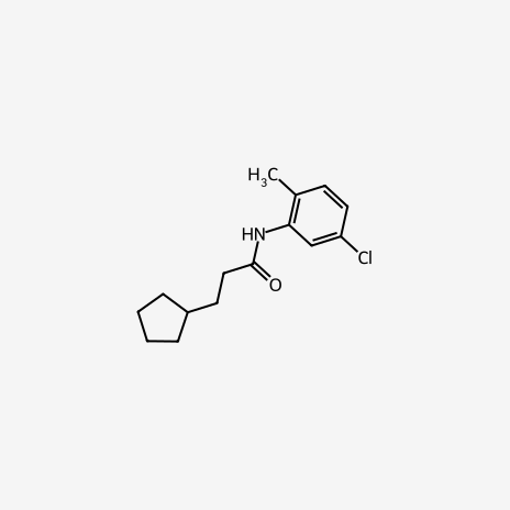 Cc1ccc(Cl)cc1NC(=O)CCC1CCCC1